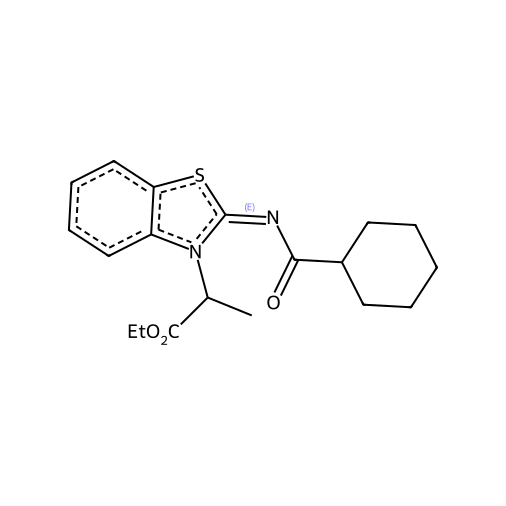 CCOC(=O)C(C)n1/c(=N\C(=O)C2CCCCC2)sc2ccccc21